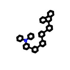 c1ccc(N(c2ccccc2)c2cccc(-c3cccc(-c4cccc(-c5cccc(-c6cccc(-c7cc8ccccc8c8ccccc78)c6)c5)c4)c3)c2)cc1